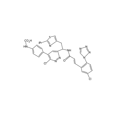 CC(C)c1nc(CC(NC(=O)C=Cc2cc(Cl)ccc2-n2cnnn2)c2cc(-c3ccc(NC(=O)O)cc3)c(Cl)nn2)cs1